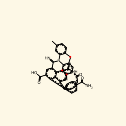 Cc1ccc(C)c(N(C(=N)c2cc(C(=O)O)c3c4ccc(C(N)=O)c5c6ccc(c7ccc(c(=O)[nH]c6=O)c2c73)c45)c2cc(C)ccc2C)c1